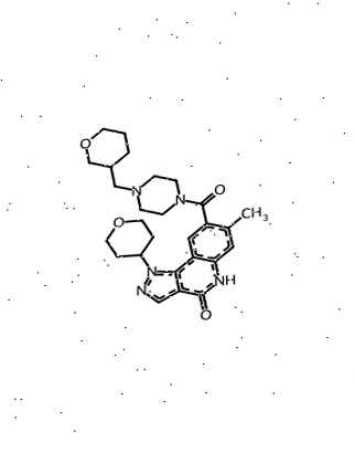 Cc1cc2[nH]c(=O)c3cnn(C4CCOCC4)c3c2cc1C(=O)N1CCN(CC2CCCOC2)CC1